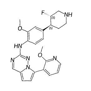 COc1cc([C@@H]2CCNC[C@H]2F)ccc1Nc1ncc2ccc(-c3cccnc3OC)n2n1